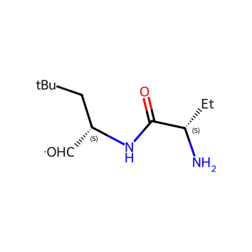 CC[C@H](N)C(=O)N[C@H]([C]=O)CC(C)(C)C